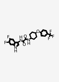 O=C(Nc1c[nH]c2cc(F)c(F)cc12)C(=O)NC1CCC(Oc2ccc(C(F)(F)F)cc2)CC1